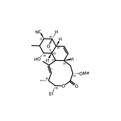 CC[C@H]1OC(=O)[C@@H](OC)C[C@H]2C=C[C@H]3[C@H]4O[C@]2(/C(C)=C/[C@H]1C)[C@@H]3[C@H](O)C(C)[C@H]4C#N